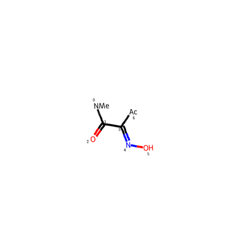 CNC(=O)/C(=N/O)C(C)=O